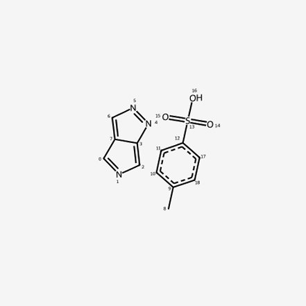 C1=NC=C2N=NC=C12.Cc1ccc(S(=O)(=O)O)cc1